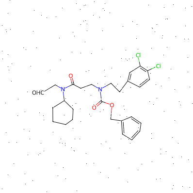 O=CCN(C(=O)CCN(CCc1ccc(Cl)c(Cl)c1)C(=O)OCc1ccccc1)C1CCCCC1